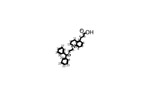 O=C(O)CCc1cccc2c1CCCN2CCSC(c1ccccc1)c1ccccc1